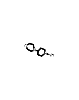 CCCN1CCC(N2CCOCC2)CC1